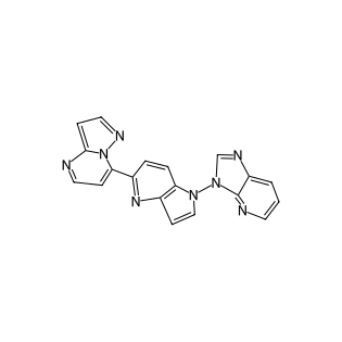 c1cnc2c(c1)ncn2-n1ccc2nc(-c3ccnc4ccnn34)ccc21